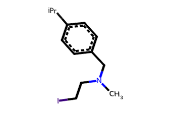 CC(C)c1ccc(CN(C)CCI)cc1